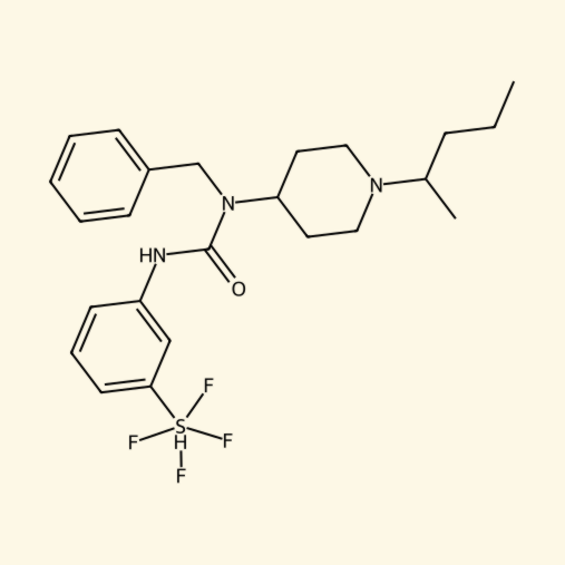 CCCC(C)N1CCC(N(Cc2ccccc2)C(=O)Nc2cccc([SH](F)(F)(F)F)c2)CC1